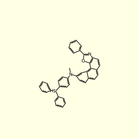 CN(c1ccc([SiH](c2ccccc2)c2ccccc2)cc1)c1ccc2ccc3ccc4nc(-c5ccccc5)oc4c3c2c1